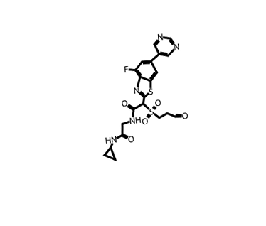 O=CCCS(=O)(=O)C(C(=O)NCC(=O)NC1CC1)c1nc2c(F)cc(-c3cncnc3)cc2s1